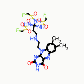 Cc1cc2nc3c(=O)[nH]c(=O)nc-3n(CCNCCC(NS(=O)(=O)CF)(NS(=O)(=O)CF)NS(=O)(=O)CF)c2cc1C